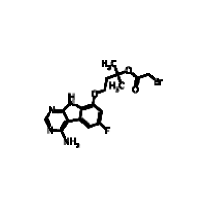 CC(C)(CCOc1cc(F)cc2c1[nH]c1ncnc(N)c12)OC(=O)CBr